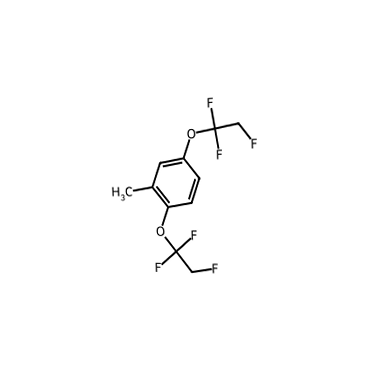 Cc1cc(OC(F)(F)CF)ccc1OC(F)(F)CF